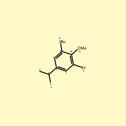 CCc1cc(C(C)I)cc(C(C)(C)C)c1OC